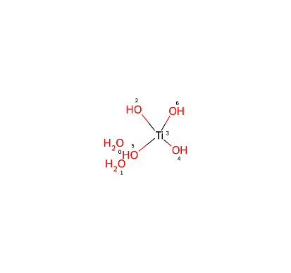 O.O.[OH][Ti]([OH])([OH])[OH]